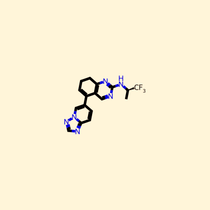 C[C@@H](Nc1ncc2c(n1)CCC=C2c1ccc2ncnn2c1)C(F)(F)F